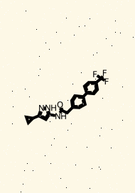 O=C(Cc1ccc(-c2ccc(C(F)(F)F)cc2)cc1)Nc1cc(C2CC2)n[nH]1